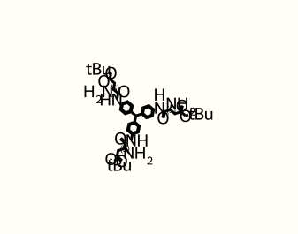 CC(C)(C)OC(=O)C[C@H](N)C(=O)Nc1ccc(C(c2ccc(NC(=O)[C@@H](N)CC(=O)OC(C)(C)C)cc2)c2ccc(NC(=O)[C@@H](N)CC(=O)OC(C)(C)C)cc2)cc1